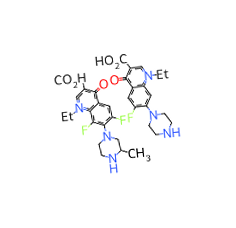 CCn1cc(C(=O)O)c(=O)c2cc(F)c(N3CCNC(C)C3)c(F)c21.CCn1cc(C(=O)O)c(=O)c2cc(F)c(N3CCNCC3)cc21